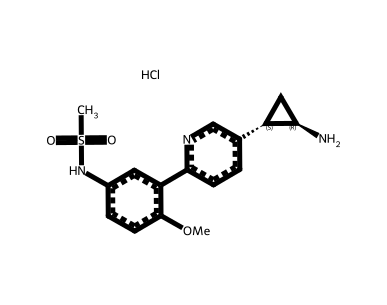 COc1ccc(NS(C)(=O)=O)cc1-c1ccc([C@@H]2C[C@H]2N)cn1.Cl